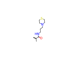 C=C(C)C(=O)NCCCN1CCSCC1